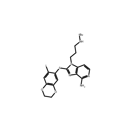 CC(C)(C)NCCCn1c(Sc2cc3c(cc2I)OCCO3)nc2c(N)nccc21